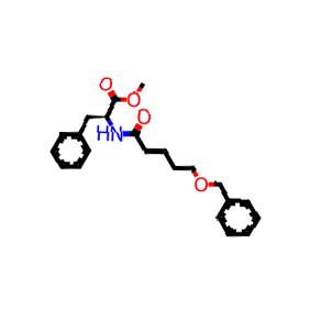 COC(=O)[C@H](Cc1ccccc1)NC(=O)CCCCOCc1ccccc1